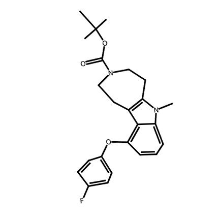 Cn1c2c(c3c(Oc4ccc(F)cc4)cccc31)CCN(C(=O)OC(C)(C)C)CC2